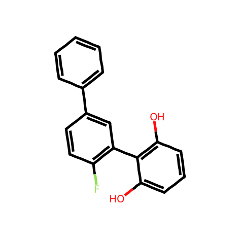 Oc1cccc(O)c1-c1cc(-c2ccccc2)ccc1F